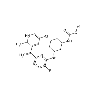 C=C(C1=CC(Cl)=CNC1C)c1ncc(F)c(N[C@@H]2CCCC(NC(=O)OC(C)C)C2)n1